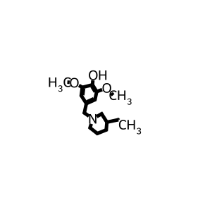 CCC1CCCN(Cc2cc(OC)c(O)c(OC)c2)C1